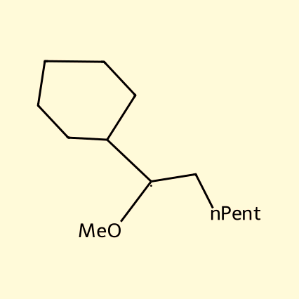 CCCCCC[C](OC)C1CCCCC1